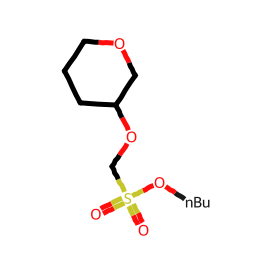 CCCCOS(=O)(=O)COC1CCCOC1